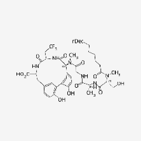 CCCCCCCCCCCCCCCC(=O)N(C)[C@H](CO)C(=O)N[C@H](C)C(=O)NCC(=O)N(C)[C@@H]1C(=O)NC(CC(F)(F)F)C(=O)NC(C(=O)O)Cc2ccc(O)c(c2)-c2cc1ccc2O